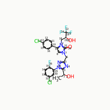 C[C@H](O)c1nc(Cn2cc(-c3ccc(Cl)cc3)n(C[C@H](O)C(F)(F)F)c2=O)nn1-c1cc(Cl)ccc1F